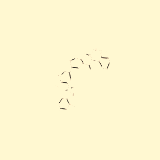 COc1ccccc1-n1c(N)nc2ccc(-c3cnc(N)c(S(=O)(=O)Nc4ccc(F)cc4F)c3)cc2c1=O